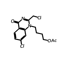 CC(=O)OCCCCn1c(CCl)nc(=O)c2ccc(Cl)cc21